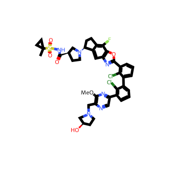 COc1nc(-c2cccc(-c3cccc(-c4nc5cc6c(c(F)c5o4)CC[C@H]6N4CC[C@@H](C(=O)NS(=O)(=O)C5(C)CC5)C4)c3Cl)c2Cl)cnc1CN1CC[C@@H](O)C1